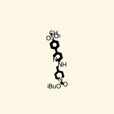 CC(C)COC(=O)N1CCC(CNc2ccc(-c3ccc(S(C)(=O)=O)cc3)cn2)CC1